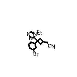 CCn1cnnc1C1(c2cccc(Br)c2)CC(=CC#N)C1